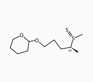 C[C@@H](CCCOC1CCCCO1)S(C)=S